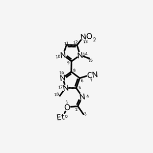 CCOC(C)=Nc1c(C#N)c(-c2ncc([N+](=O)[O-])n2C)nn1C